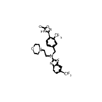 O=c1[nH]c(-c2ccc(CN(CCN3CCOCC3)c3nc4ccc(C(F)(F)F)cc4s3)cc2C(F)(F)F)no1